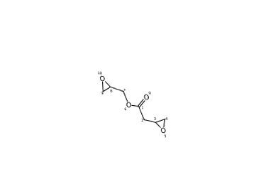 O=C(CC1CO1)OCC1CO1